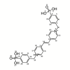 O=P(O)(O)c1ccc(C[n+]2ccc(C=Cc3cc[n+](Cc4ccc(P(=O)(O)O)cc4)cc3)cc2)cc1